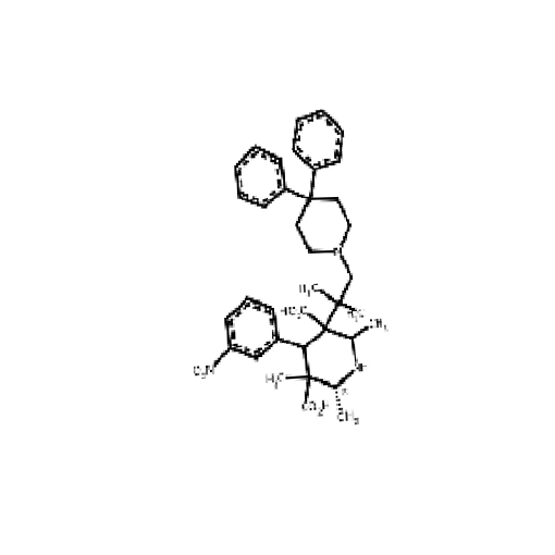 CC1N[C@H](C)C(C)(C(=O)O)C(c2cccc([N+](=O)[O-])c2)C1(C(=O)O)C(C)(C)CN1CCC(c2ccccc2)(c2ccccc2)CC1